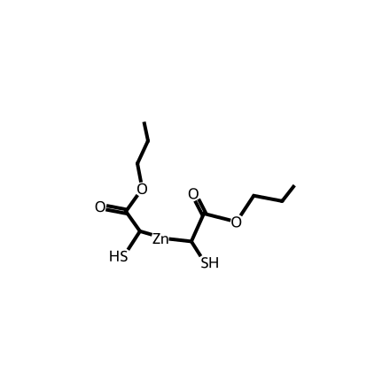 CCCOC(=O)[CH](S)[Zn][CH](S)C(=O)OCCC